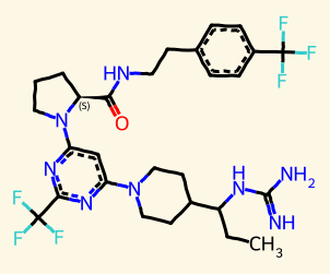 CCC(NC(=N)N)C1CCN(c2cc(N3CCC[C@H]3C(=O)NCCc3ccc(C(F)(F)F)cc3)nc(C(F)(F)F)n2)CC1